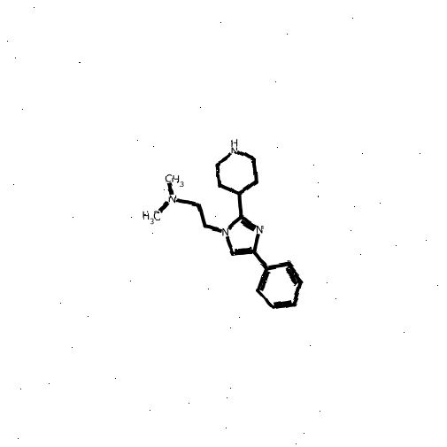 CN(C)CCn1cc(-c2ccccc2)nc1C1CCNCC1